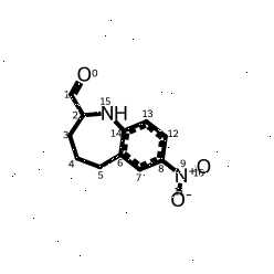 O=CC1CCCc2cc([N+](=O)[O-])ccc2N1